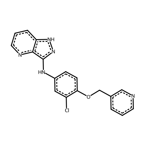 Clc1cc(Nc2n[nH]c3cccnc23)ccc1OCc1cccnc1